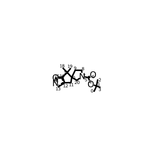 CC(C)(C)OC(=O)N1CCC2(Cc3cnoc3C2(C)C)C1